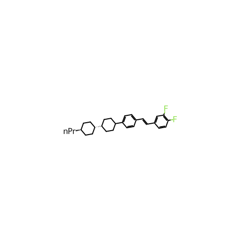 CCC[C@H]1CC[C@H](C2CCC(c3ccc(C=Cc4ccc(F)c(F)c4)cc3)CC2)CC1